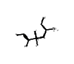 BC(CC)CC(C)(C)/C(C)=C/C